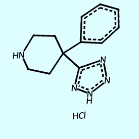 Cl.c1ccc(C2(c3nn[nH]n3)CCNCC2)cc1